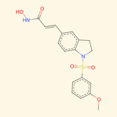 COc1cccc(S(=O)(=O)N2CCc3cc(/C=C/C(=O)NO)ccc32)c1